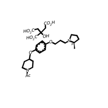 CC(=O)N1CCC(Oc2ccc(OCCCN3CCC[C@H]3C)cc2)CC1.O=C(O)CC(O)(CC(=O)O)C(=O)O